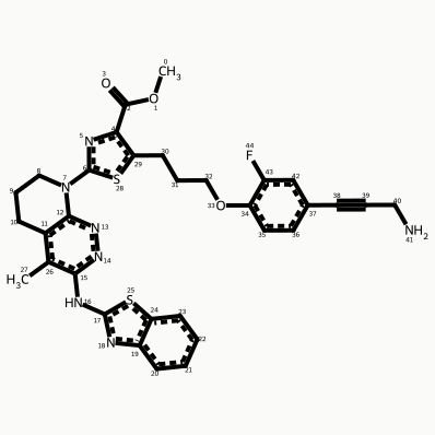 COC(=O)c1nc(N2CCCc3c2nnc(Nc2nc4ccccc4s2)c3C)sc1CCCOc1ccc(C#CCN)cc1F